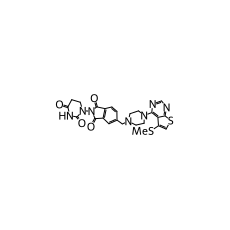 CSc1csc2ncnc(N3CCN(Cc4ccc5c(c4)C(=O)N(N4CCC(=O)NC4=O)C5=O)CC3)c12